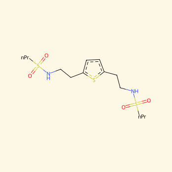 CCCS(=O)(=O)NCCc1ccc(CCNS(=O)(=O)CCC)s1